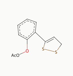 CC(=O)OOc1ccccc1C1=CCSS1